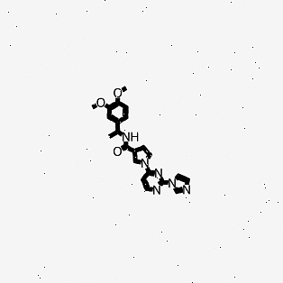 COc1ccc(C(C)NC(=O)C2CCN(c3ccnc(-n4ccnc4)n3)C2)cc1OC